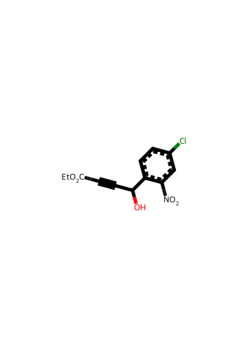 CCOC(=O)C#CC(O)c1ccc(Cl)cc1[N+](=O)[O-]